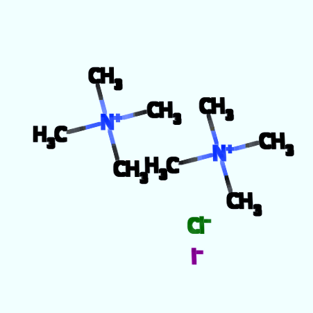 C[N+](C)(C)C.C[N+](C)(C)C.[Cl-].[I-]